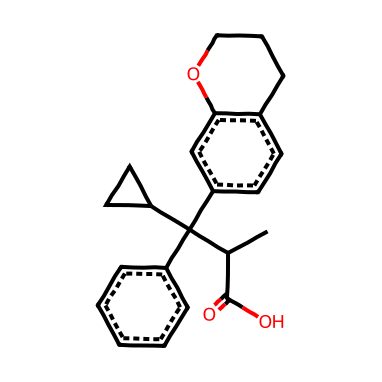 CC(C(=O)O)C(c1ccccc1)(c1ccc2c(c1)OCCC2)C1CC1